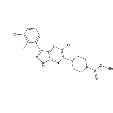 CC(C)(C)OC(=O)N1CCN(c2nc3[nH]nc(-c4cccc(Cl)c4Cl)c3nc2Cl)CC1